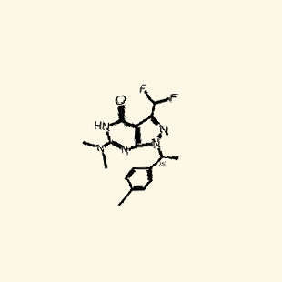 Cc1ccc([C@H](C)n2nc(C(F)F)c3c(=O)[nH]c(N(C)C)nc32)cc1